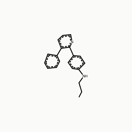 CCCNc1ccc(-c2ncccc2-c2ccccc2)cc1